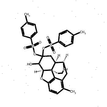 Cc1ccc(S(=O)(=O)OC2(OS(=O)(=O)c3ccc(C)cc3)C[C@H]3[C@H]4Cc5c(C)ccc6c5[C@@]3(CCN4)[C@@H](O6)C2O)cc1